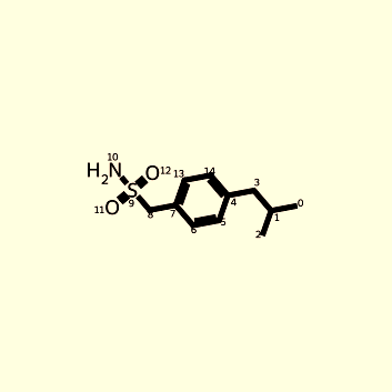 CC(C)Cc1ccc(CS(N)(=O)=O)cc1